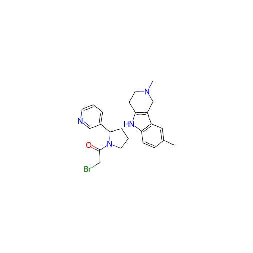 Cc1ccc2[nH]c3c(c2c1)CN(C)CC3.O=C(CBr)N1CCCC1c1cccnc1